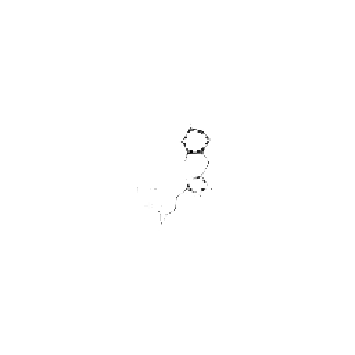 CCCCC[C@@H](CN(O)C=O)c1nnc(Cc2ccccc2Cl)o1